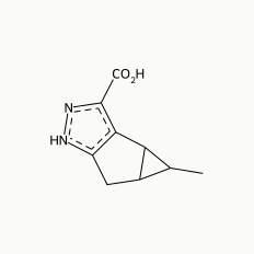 CC1C2Cc3[nH]nc(C(=O)O)c3C12